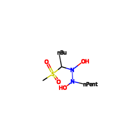 CCCCCN(O)N(O)C(CCCC)S(C)(=O)=O